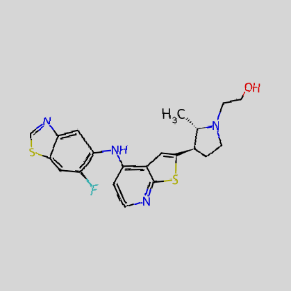 C[C@H]1[C@H](c2cc3c(Nc4cc5ncsc5cc4F)ccnc3s2)CCN1CCO